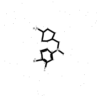 CN(CC1CCC(N)CC1)c1ccc(Br)c(F)c1